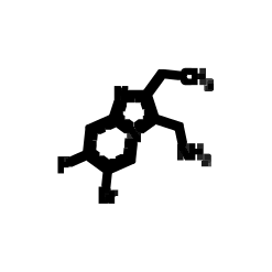 CCc1nc2cc(F)c(Br)cn2c1CN